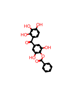 O=C(Oc1c(O)cc(C(=O)c2ccc(O)c(O)c2O)cc1O)c1ccccc1